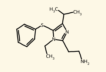 CCn1c(CCN)nc(C(C)C)c1Sc1ccccc1